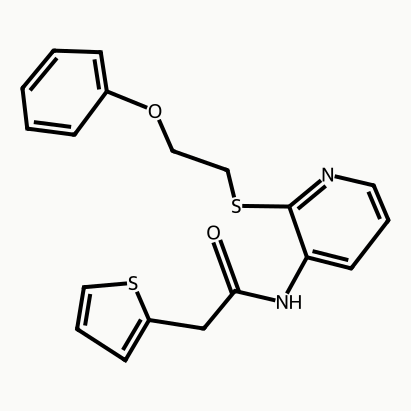 O=C(Cc1cccs1)Nc1cccnc1SCCOc1ccccc1